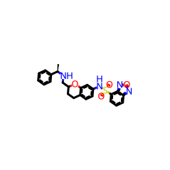 C[C@@H](NCC1CCc2ccc(NS(=O)(=O)c3cccc4nonc34)cc2O1)c1ccccc1